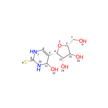 OC[C@H]1O[C@@H](C2=CNC(=S)NC2O)[C@@H](O)C1O